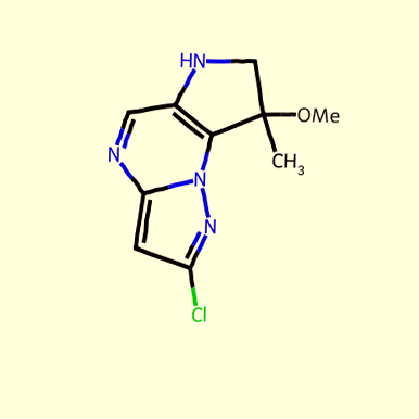 COC1(C)CNc2cnc3cc(Cl)nn3c21